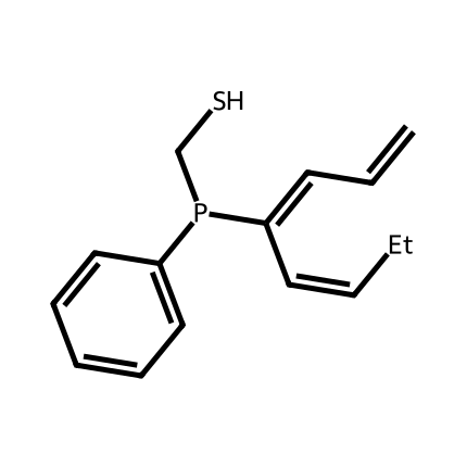 C=C/C=C(\C=C/CC)P(CS)c1ccccc1